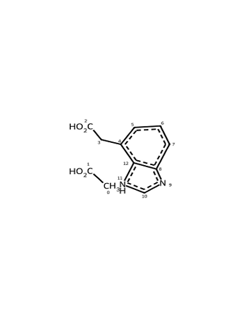 CC(=O)O.O=C(O)Cc1cccc2nc[nH]c12